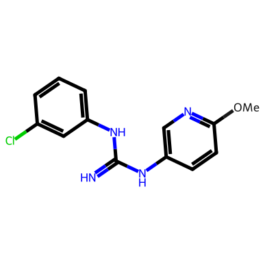 COc1ccc(NC(=N)Nc2cccc(Cl)c2)cn1